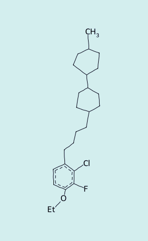 CCOc1ccc(CCCCC2CCC(C3CCC(C)CC3)CC2)c(Cl)c1F